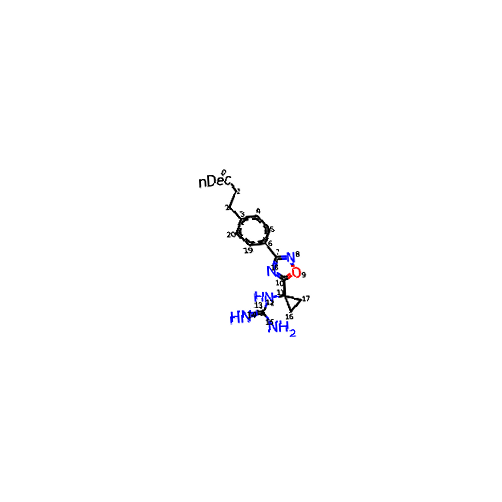 CCCCCCCCCCCCc1ccc(-c2noc(C3(NC(=N)N)CC3)n2)cc1